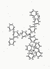 c1ccc(-c2cc(-c3ccccc3)cc(-c3ccc(N(c4ccc(-c5ccc6oc7ccccc7c6c5)cc4)c4ccc(-c5cccc6c5-c5ccccc5C6(c5ccccc5)c5ccccc5)cc4)cc3)c2)cc1